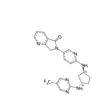 O=C1c2cccnc2CN1c1ccc(N[C@H]2CC[C@H](Nc3ncc(C(F)(F)F)cn3)C2)nc1